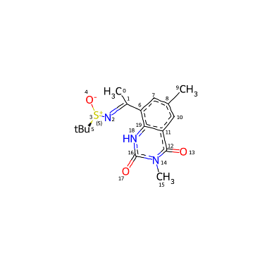 CC(=N[S@+]([O-])C(C)(C)C)c1cc(C)cc2c(=O)n(C)c(=O)[nH]c12